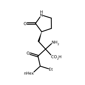 CCCCCCC(CC)C(=O)C(N)(C[C@@H]1CCNC1=O)C(=O)O